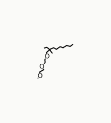 CCCCCCCC(C)(CC)COCCOCCOC